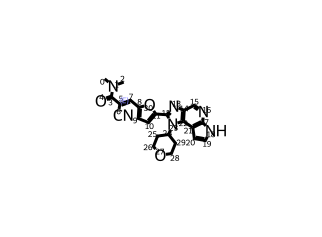 CN(C)C(=O)/C(C#N)=C/c1ccc(-c2nc3cnc4[nH]ccc4c3n2C2CCOCC2)o1